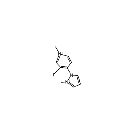 C[n+]1ccc(-n2ccc[n+]2C)c(I)c1